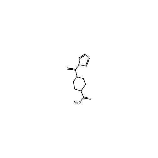 COC(=O)C1CCN(C(=O)n2ccnc2)CC1